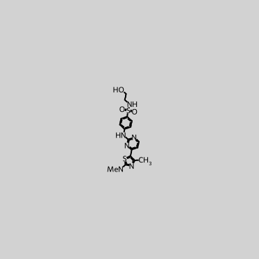 CNc1nc(C)c(-c2ccnc(Nc3ccc(S(=O)(=O)NCCO)cc3)n2)s1